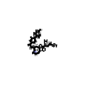 Cc1nnc(-c2ccc(C(C)CC3/C=C/CCCC(OC(=O)NCCC(C)C)C3)cc2)nn1